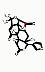 CC1(C)OC2CC(=O)OCC23C1=CC(=O)C1(C)C3CCC2(C)C(c3ccoc3)OC(=O)C3OC321